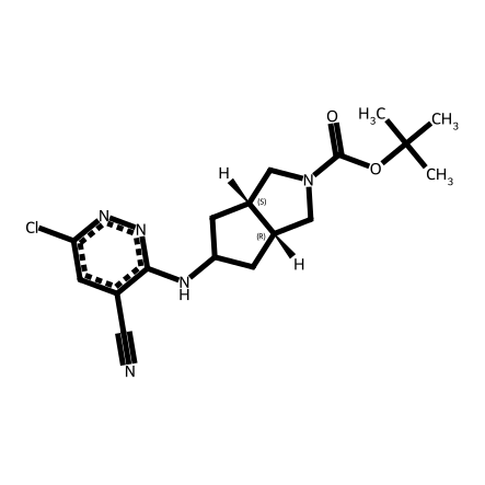 CC(C)(C)OC(=O)N1C[C@H]2CC(Nc3nnc(Cl)cc3C#N)C[C@H]2C1